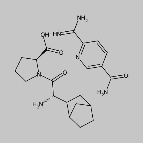 N=C(N)c1ccc(C(N)=O)cn1.N[C@H](C(=O)N1CCC[C@H]1C(=O)O)C1CC2CCC1C2